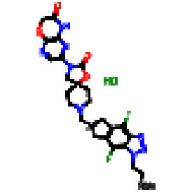 CNCCn1nnc2c(F)c3c(c(F)c21)C[C@@H](CN1CCC2(CC1)CN(c1cnc4c(n1)NC(=O)CO4)C(=O)O2)C3.Cl